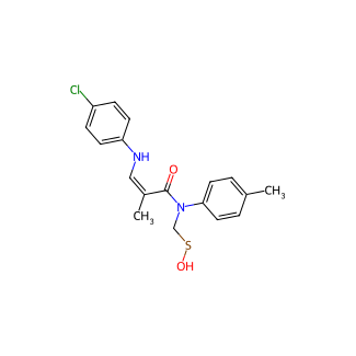 C/C(=C/Nc1ccc(Cl)cc1)C(=O)N(CSO)c1ccc(C)cc1